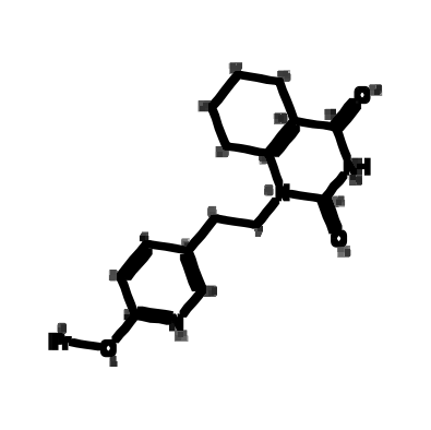 CC(C)Oc1ccc(CCn2c3c(c(=O)[nH]c2=O)CCCC3)cn1